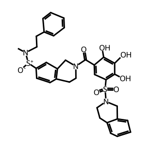 CN(CCc1ccccc1)[S+]([O-])c1ccc2c(c1)CN(C(=O)c1cc(S(=O)(=O)N3CCc4ccccc4C3)c(O)c(O)c1O)CC2